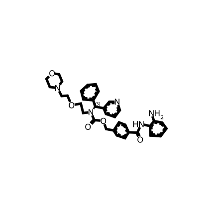 Nc1ccccc1NC(=O)c1ccc(COC(=O)N(CCOCCN2CCOCC2)[C@@H](c2ccccc2)c2cccnc2)cc1